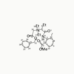 CCC(C(=O)Nc1c(C)cccc1C(=O)OC)[N+](CC)(CC)CC(=O)OCc1ccccc1